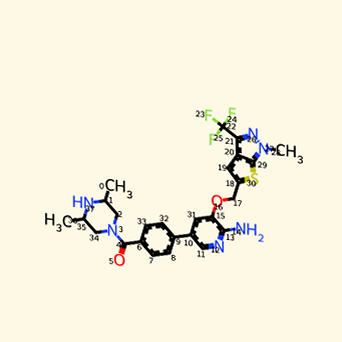 CC1CN(C(=O)c2ccc(-c3cnc(N)c(OCc4cc5c(C(F)(F)F)nn(C)c5s4)c3)cc2)CC(C)N1